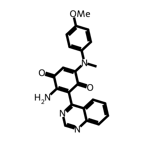 COc1ccc(N(C)C2=CC(=O)C(N)=C(c3ncnc4ccccc34)C2=O)cc1